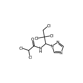 O=C(NC(n1cncn1)C(Cl)(Cl)CCl)C(Cl)Cl